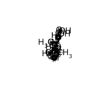 CC(=O)NC(Cc1ccc(OP(=O)(O)O)cc1)C(=O)NC(CCC(=O)O)C(=O)N(C)[C@@H](C)Cc1ccccc1